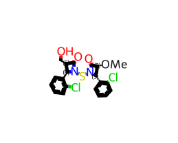 CO[C@H]1C(=O)N(SN2C(=O)[C@H](CO)[C@@H]2c2ccccc2Cl)[C@H]1c1ccccc1Cl